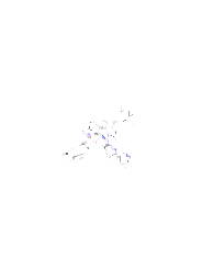 CC1(C)c2ccccc2-c2cc3c4ccc5c(c4n(-c4cccc(-c6cccnc6)n4)c3cc21)OC(c1ccccc1)N5